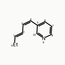 CC/C=C/C=C\c1cccnc1